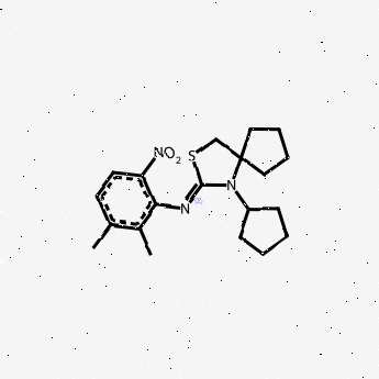 Cc1ccc([N+](=O)[O-])c(/N=C2\SCC3(CCCC3)N2C2CCCC2)c1C